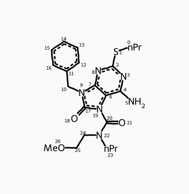 CCCSc1nc(N)c2c(n1)n(Cc1ccccc1)c(=O)n2C(=O)N(CCC)CCOC